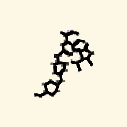 C=C1NC(C)N(C(C)C)/C1=C/C(=C\C)C(=CC(=N)NC1N=CC(CN2CCC(CC)CC2)=CN1)/C(C)=C\C